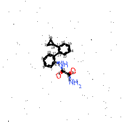 NC(=O)C(=O)Nc1ccccc1-c1ccccc1C1CC1